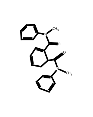 CN(C(=O)C1=CC=CCC1C(=O)N(C)c1ccccc1)c1ccccc1